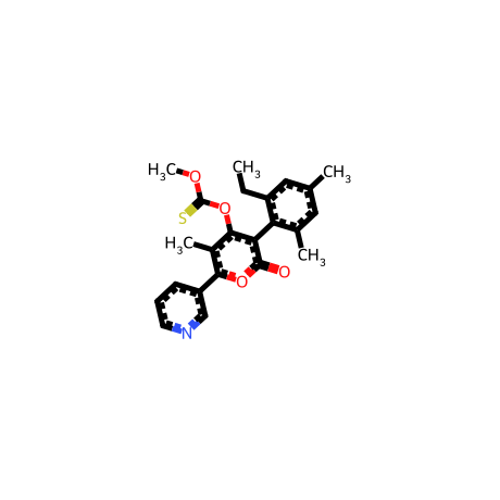 CCc1cc(C)cc(C)c1-c1c(OC(=S)OC)c(C)c(-c2cccnc2)oc1=O